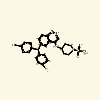 O=S(=O)(N1CCC(Nc2cnnc3ccc(C(c4ccc(Cl)cc4)c4ccc(Cl)cc4)cc23)CC1)C(F)(F)F